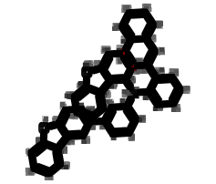 c1cc(-c2ccc3oc4ccccc4c3c2)cc(N(c2ccccc2-c2ccc3ccccc3c2)c2cccc3oc4ccccc4c23)c1